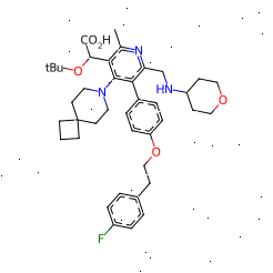 Cc1nc(CNC2CCOCC2)c(-c2ccc(OCCc3ccc(F)cc3)cc2)c(N2CCC3(CCC3)CC2)c1C(OC(C)(C)C)C(=O)O